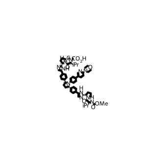 COC(=O)N[C@H](C(=O)N1CCC[C@H]1c1ncc(-c2ccc([C@@H]3CC[C@@H](c4ccc(-c5cnc([C@@H]6CCCN6C(=O)[C@H](C(C)C)N(C)C(=O)O)[nH]5)cc4)N3c3ccc(-c4ccc(N5CCOCC5)nc4)cc3)cc2)[nH]1)C(C)C